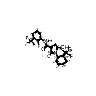 Cc1cc(C(=O)Nc2cccc(C(F)(F)F)c2F)c(C)n1-c1ccccc1C(F)(F)F